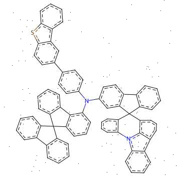 c1ccc2c(c1)-c1ccccc1C21c2ccccc2-c2c(N(c3ccc(-c4ccc5sc6ccccc6c5c4)cc3)c3ccc4c(c3)C3(c5ccccc5-4)c4ccccc4-n4c5ccccc5c5cccc3c54)cccc21